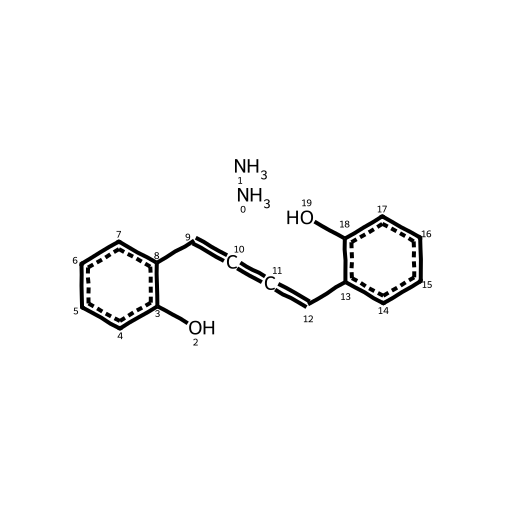 N.N.Oc1ccccc1C=C=C=Cc1ccccc1O